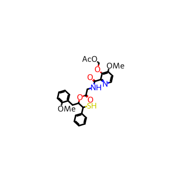 COc1ccccc1CC(OC(=O)CNC(=O)c1nccc(OC)c1OCOC(C)=O)C(S)c1ccccc1